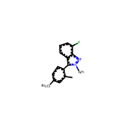 CCCn1nc2c(F)cccc2c1-c1ccc(OC)cc1C